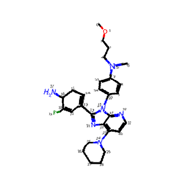 COCCCN(C)c1ccc(-n2c(C3=CCC(N)C(F)=C3)nc3c(N4CCCCC4)ccnc32)cc1